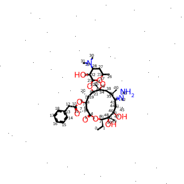 CC[C@H]1OC(=O)[C@H](C)[C@@H](OC(=O)Cc2ccccc2)[C@H](C)[C@@H](OC2OC(C)CC(N(C)C)C2O)[C@](C)(OC)C[C@@H](C)/C(=N\N)[C@H](C)[C@@H](O)[C@]1(C)O